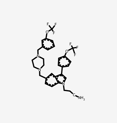 NCCCn1cc(-c2ccc(OC(F)(F)F)cc2)c2cc(CN3CCN(Cc4cccc(OC(F)(F)F)c4)CC3)ccc21